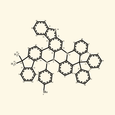 CC(C)(C)c1ccc(N2B3c4cccc5c4N(c4ccccc4C5(c4ccccc4)c4ccccc4)c4cc5sc6ccccc6c5c(c43)-c3ccc4c(c32)-c2ccccc2C4(C)C)cc1